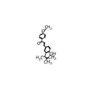 C=C(C)C(C)c1cc(/C=C/C(=O)c2ccc(OCC)cc2)ccc1O